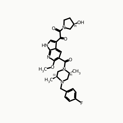 COc1nc2[nH]cc(C(=O)C(=O)N3CC[C@@H](O)C3)c2cc1C(=O)N1C[C@H](C)N(Cc2ccc(F)cc2)C[C@H]1C